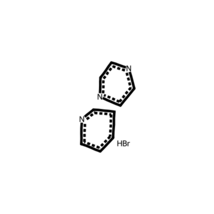 Br.c1ccncc1.c1cnccn1